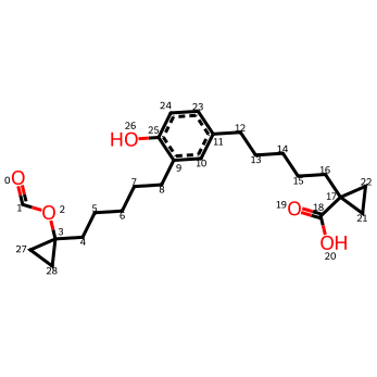 O=COC1(CCCCCc2cc(CCCCCC3(C(=O)O)CC3)ccc2O)CC1